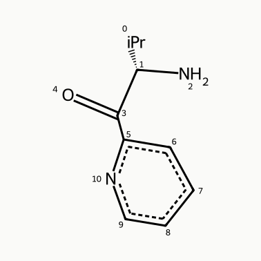 CC(C)[C@H](N)C(=O)c1ccccn1